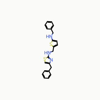 c1ccc(CNc2ccc(CNc3nc(Cc4ccccc4)cs3)s2)cc1